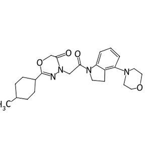 CC1CCC(C2=NN(CC(=O)N3CCc4c(N5CCOCC5)cccc43)C(=O)CO2)CC1